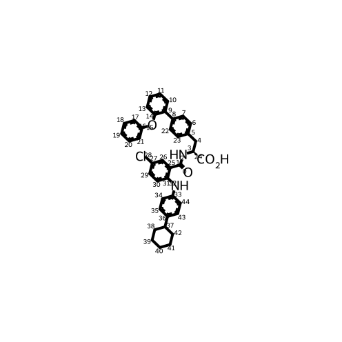 O=C(N[C@@H](Cc1ccc(-c2ccccc2Oc2ccccc2)cc1)C(=O)O)c1cc(Cl)ccc1Nc1ccc(C2CCCCC2)cc1